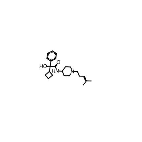 CC(C)=CCCN1CCC(NC(=O)C(O)(c2ccccc2)C2CCC2)CC1